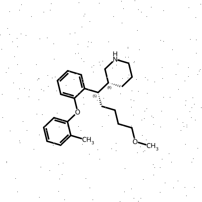 COCCCC[C@H](c1ccccc1Oc1ccccc1C)[C@H]1CCCNC1